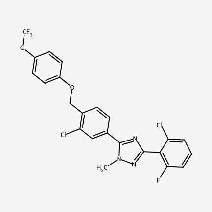 Cn1nc(-c2c(F)cccc2Cl)nc1-c1ccc(COc2ccc(OC(F)(F)F)cc2)c(Cl)c1